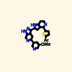 COc1cncc(-c2cc3c(-c4cc5c(-c6ccc(C(C)=O)s6)nccc5[nH]4)n[nH]c3cn2)c1